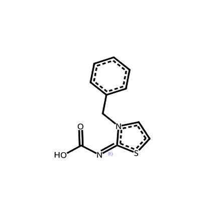 O=C(O)/N=c1/sccn1Cc1ccccc1